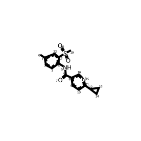 Cc1ccc(NC(=O)c2ccc(C3CC3)nc2)c(S(C)(=O)=O)c1